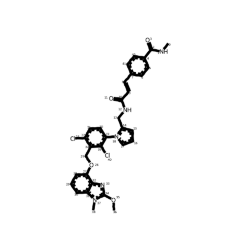 CNC(=O)c1ccc(C=CC(=O)NCc2cccn2-c2ccc(Cl)c(COc3cccc4c3nc(OC)n4C)c2Cl)cc1